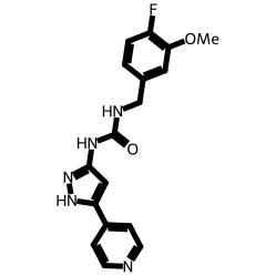 COc1cc(CNC(=O)Nc2cc(-c3ccncc3)[nH]n2)ccc1F